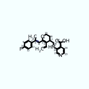 C=CC1=C(/C=C(\C)c2ccc(F)cc2)OCCC1CNc1cnccc1C(=O)O